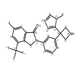 [CH2]c1cc2c(c(C(F)(F)F)c1)CN(c1cccc(C3(c4nncn4C)CNC3)c1)C2=O